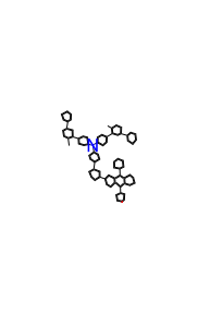 Cc1ccc(-c2ccccc2)cc1-c1ccc(N(c2ccc(-c3cccc(-c4ccc5c(-c6ccccc6)c6ccccc6c(-c6ccccc6)c5c4)c3)cc2)c2ccc(-c3cc(-c4ccccc4)ccc3C)cc2)cc1